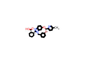 Cc1ccc(COc2ccc3nc([C@H]4CCCC[C@@H]4C(=O)O)n(Cc4cccc(Br)c4)c3c2)nc1